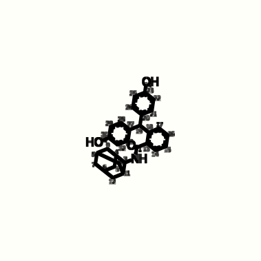 O=C(NC1C2CC3CC(C2)CC1C3)c1ccccc1C(c1ccc(O)cc1)c1ccc(O)cc1